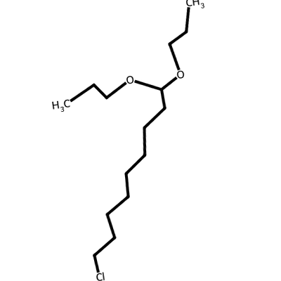 CCCOC(CCCCCCCCCl)OCCC